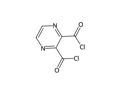 O=C(Cl)c1nccnc1C(=O)Cl